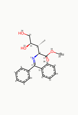 C[C@H]([C@H](N=C(c1ccccc1)c1ccccc1)C(=O)OC(C)(C)C)[C@@H](O)CO